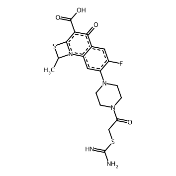 CC1Sc2c(C(=O)O)c(=O)c3cc(F)c(N4CCN(C(=O)CSC(=N)N)CC4)cc3n21